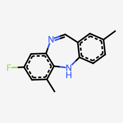 Cc1ccc2c(c1)C=Nc1cc(F)cc(C)c1N2